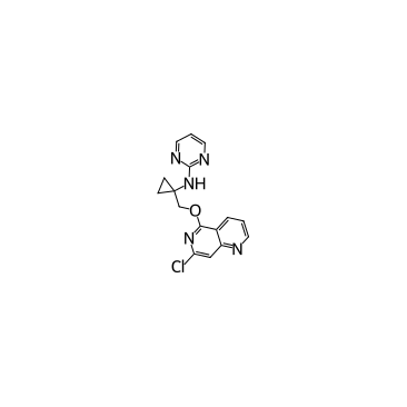 Clc1cc2ncccc2c(OCC2(Nc3ncccn3)CC2)n1